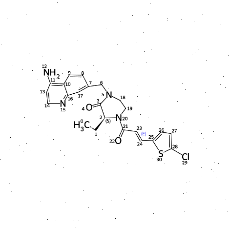 CC[C@H]1C(=O)N(Cc2ccc3c(N)ccnc3c2)CCN1C(=O)/C=C/c1ccc(Cl)s1